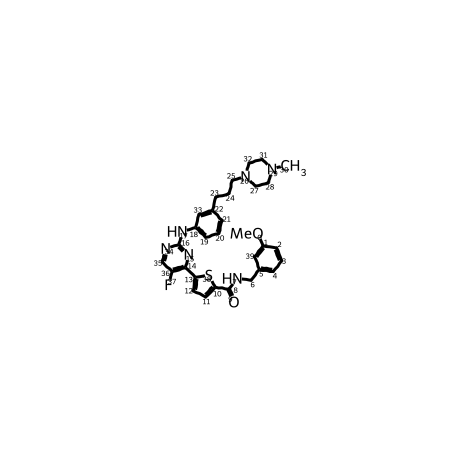 COc1cccc(CNC(=O)c2ccc(-c3nc(Nc4cccc(CCCN5CCN(C)CC5)c4)ncc3F)s2)c1